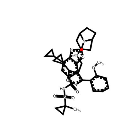 CC1(S(=O)(=O)NC(=O)c2cc(C3CC3)c3nc(N4C5CCC4CC(NCc4c(-c6ccccc6OC(F)(F)F)noc4C4CC4)C5)sc3c2)CC1